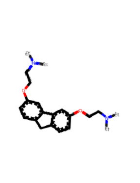 CCN(CC)CCOc1ccc2c(c1)-c1cc(OCCN(CC)CC)ccc1C2